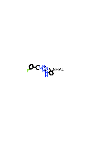 CC(=O)Nc1cccc(Nc2ncnc(N3CCC(c4cccc(F)c4)CC3)n2)c1C